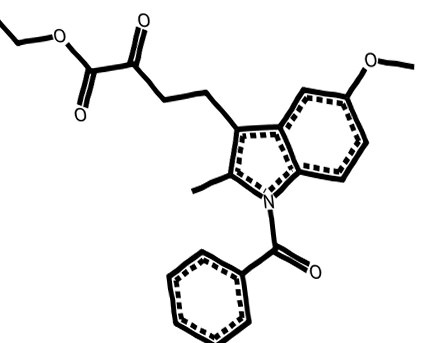 CCOC(=O)C(=O)CCc1c(C)n(C(=O)c2ccccc2)c2ccc(OC)cc12